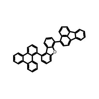 c1ccc2c(c1)-c1cccc3c(-c4cccc5c4oc4cccc(-c6cccc7c8ccccc8c8ccccc8c67)c45)ccc-2c13